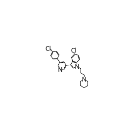 Clc1ccc(-c2cncc(-c3cn(CCCN4CCCCC4)c4ccc(Cl)cc34)c2)cc1